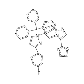 Fc1ccc(C2=N[N+](c3ccc4ncc(-c5nccs5)n4c3)(C(c3ccccc3)(c3ccccc3)c3ccccc3)C=C2)cc1